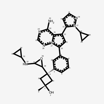 C[C@]1(O)C[C@](c2cccc(-c3cc(-c4ccnn4C4CC4)c4c(N)ncnn34)c2)(C2OC2NC2CC2)C1